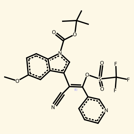 COc1ccc2c(c1)c(/C(C#N)=C(\OS(=O)(=O)C(F)(F)F)c1cccnc1)cn2C(=O)OC(C)(C)C